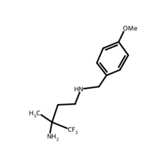 COc1ccc(CNCCC(C)(N)C(F)(F)F)cc1